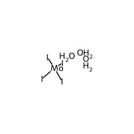 O.O.O.[I][Mo]([I])([I])[I]